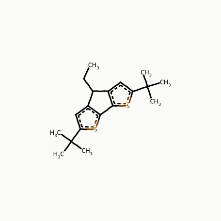 CCC1c2cc(C(C)(C)C)sc2-c2sc(C(C)(C)C)cc21